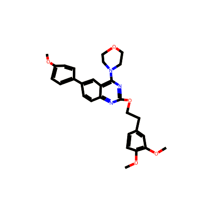 COc1ccc(-c2ccc3nc(OCCc4ccc(OC)c(OC)c4)nc(N4CCOCC4)c3c2)cc1